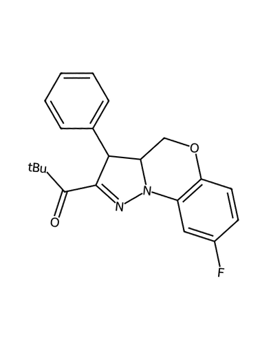 CC(C)(C)C(=O)C1=NN2c3cc(F)ccc3OCC2C1c1ccccc1